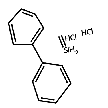 C=[SiH2].Cl.Cl.c1ccc(-c2ccccc2)cc1